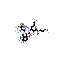 C#CCCC(NC(=O)[C@@H]1[C@H]2CCC(C)(C)[C@H]2CN1C(=O)[C@@H](N)C(C)(C)C)C(=O)C(=O)NCC=C